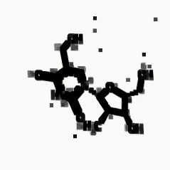 C[C@@H]1[C@H](O)[C@@H](CO)O[C@H]1n1cc(CO)c(=O)[nH]c1=O